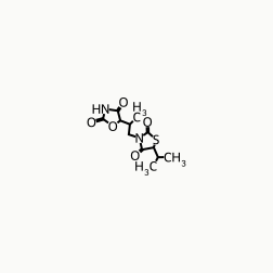 CC(C)C1SC(=O)N(CC(C)C2OC(=O)NC2=O)C1=O